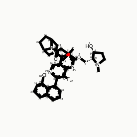 CN1CC[C@@H](O)[C@H]1COc1nc(N2CC3CCC(C2)N3C(=O)CC(C)(C)C)c2cnc(-c3cccc4cccc(Cl)c34)c(F)c2n1